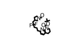 CC(C)(C)OC(=O)N1CCCc2ccc(CCCC(F)(F)CC3CCN(C=O)C3)nc21